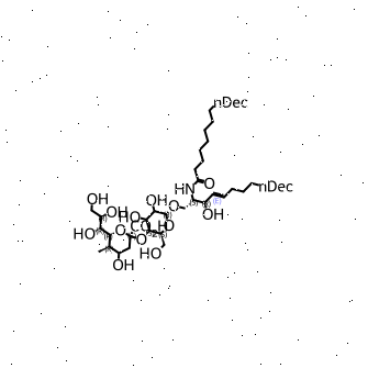 CCCCCCCCCCCCC/C=C/[C@@H](O)[C@H](CO[C@@H]1O[C@@H](CO)[C@@H](O[C@]2(C(=O)O)CC(O)[C@@H](C)[C@H]([C@H](O)[C@H](O)CO)O2)C(O)C1O)NC(=O)CCCCCCCCCCCCCCCCC